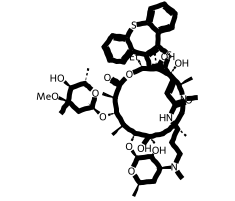 CC[C@H]1OC(=O)[C@H](C)[C@@H](O[C@H]2C[C@@](C)(OC)[C@@H](O)[C@H](C)O2)[C@H](C)[C@@H](O[C@@H]2O[C@H](C)C[C@H](N(C)CCCNC(=O)/C=C/c3cc4c(s3)-c3ccccc3Sc3ccccc3-4)[C@H]2O)[C@](C)(O)C[C@@H](C)CN(C)[C@H](C)[C@@H](O)[C@]1(C)O